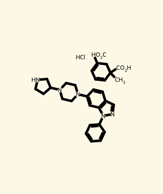 CC1(C(=O)O)C=CC=C(C(=O)O)C1.Cl.c1ccc(-n2ncc3ccc(N4CCN(C5CCNC5)CC4)cc32)cc1